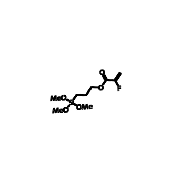 C=C(F)C(=O)OCCC[Si](OC)(OC)OC